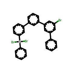 Brc1cc(-c2ccccc2)cc(-c2cccc(-c3cccc([Si](Br)(Br)c4ccccc4)c3)c2)c1